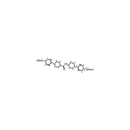 CCCCCCCCCc1cnc(-c2ccc(C(=O)Oc3ccc(-c4ncc(CCCCC)cn4)cc3)cc2)nc1